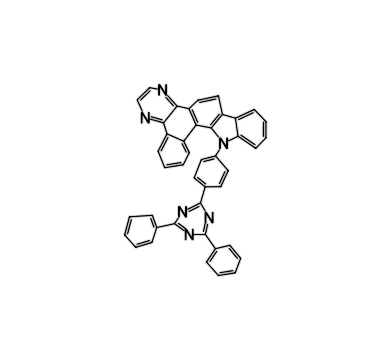 c1ccc(-c2nc(-c3ccccc3)nc(-c3ccc(-n4c5ccccc5c5ccc6c7nccnc7c7ccccc7c6c54)cc3)n2)cc1